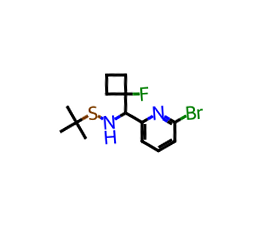 CC(C)(C)SNC(c1cccc(Br)n1)C1(F)CCC1